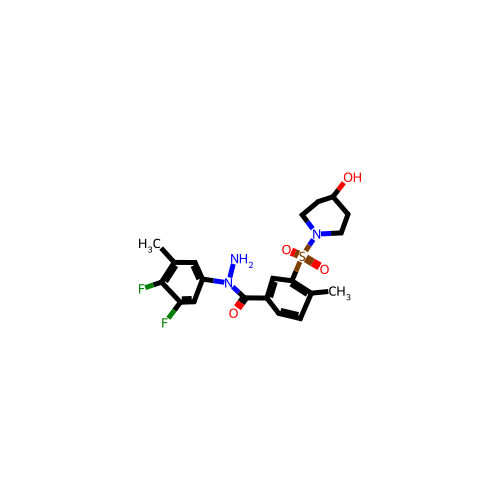 Cc1ccc(C(=O)N(N)c2cc(C)c(F)c(F)c2)cc1S(=O)(=O)N1CCC(O)CC1